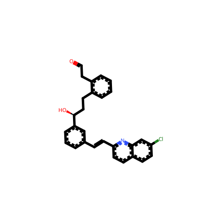 O=CCc1ccccc1CC[C@H](O)c1cccc(/C=C/c2ccc3ccc(Cl)cc3n2)c1